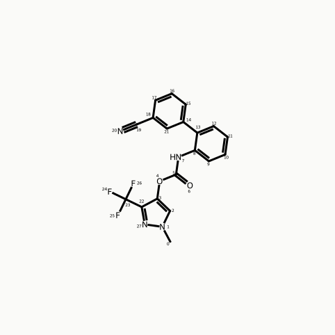 Cn1cc(OC(=O)Nc2ccccc2-c2cccc(C#N)c2)c(C(F)(F)F)n1